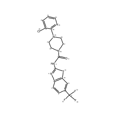 O=C(Nc1nc2ccc(C(F)(F)F)cc2s1)N1CCN(c2ncccc2Cl)CC1